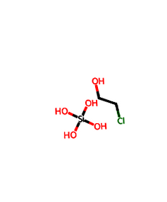 OCCCl.O[Si](O)(O)O